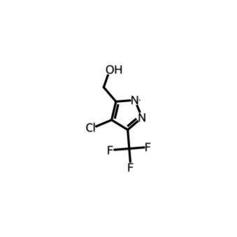 OCC1=C(Cl)C(C(F)(F)F)=N[N]1